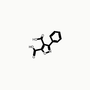 O=C(O)c1onc(-c2ccccc2)c1C(=O)O